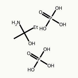 CCC(C)(N)O.O=P(O)(O)O.O=P(O)(O)O